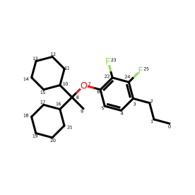 CCCc1ccc(OC(C)(C2CCCCC2)C2CCCCC2)c(F)c1F